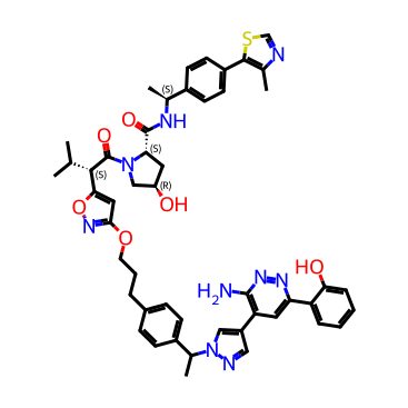 Cc1ncsc1-c1ccc([C@H](C)NC(=O)[C@@H]2C[C@@H](O)CN2C(=O)[C@H](c2cc(OCCCc3ccc(C(C)n4cc(-c5cc(-c6ccccc6O)nnc5N)cn4)cc3)no2)C(C)C)cc1